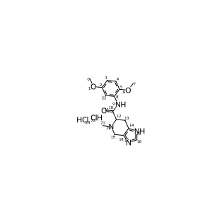 COc1ccc(OC)c(NC(=O)C2Cc3[nH]cnc3CN2C)c1.Cl.Cl